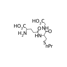 CCCSCC(NC(=O)CCC(N)C(=O)O)C(=O)NCC(=O)O